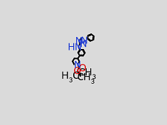 CC(C)(C)OC(=O)N1CCCC(c2cccc(Nc3ncn(-c4ccccc4)n3)c2)C1